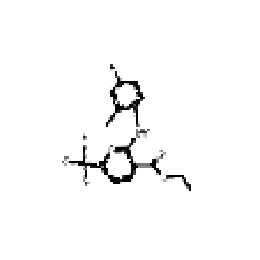 CCOC(=O)c1ccc(C(F)(F)F)nc1Nc1ccc(F)cc1C